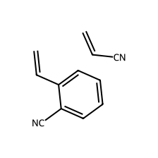 C=CC#N.C=Cc1ccccc1C#N